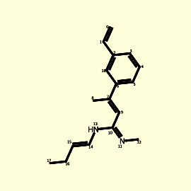 C=Cc1cccc(/C(C)=C/C(=N\C)N/C=C/CC)c1